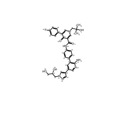 CC(C)(O)Cn1cc(C(=O)Nc2ccc(-c3cc(-c4cnn(C[C@H](O)CO)c4)cnc3N)cc2)c(=O)c(-c2ccc(F)cc2)c1